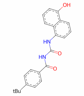 CC(C)(C)c1ccc(C(=O)NC(=O)Nc2cccc3c(O)cccc23)cc1